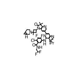 CC(C)n1cnc2cc(-c3cnc4c(c3)N(C3CC(C)(N5CCC6C[C@@H]6C5)C3)C(=O)C4(C)C)nc(Nc3cc(C(=O)NCC(F)F)c(Cl)c(F)c3F)c21